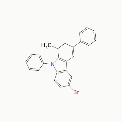 CC1CC(c2ccccc2)=Cc2c1n(-c1ccccc1)c1ccc(Br)cc21